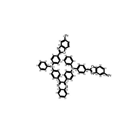 CC(C)c1ccc2oc(-c3ccc(N(c4ccccc4)c4ccc(-c5nc6ccccc6nc5-c5ccc(N(c6ccccc6)c6ccc(-c7nc8cc(C(C)C)ccc8o7)cc6)cc5)cc4)cc3)nc2c1